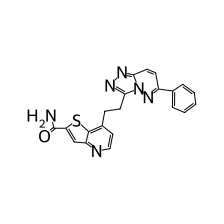 NC(=O)c1cc2nccc(CCc3nnc4ccc(-c5ccccc5)nn34)c2s1